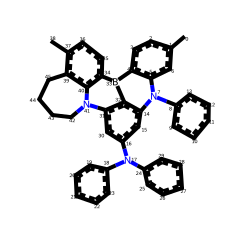 Cc1ccc2c(c1)N(c1ccccc1)c1cc(N(c3ccccc3)c3ccccc3)cc3c1B2c1ccc(C)c2c1N3CCCC2